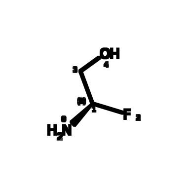 N[C@H](F)CO